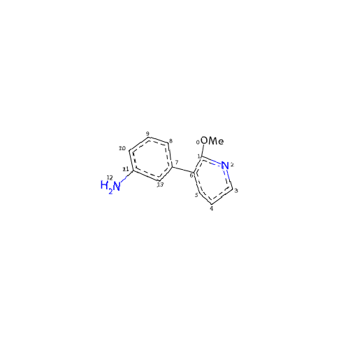 COc1ncccc1-c1cccc(N)c1